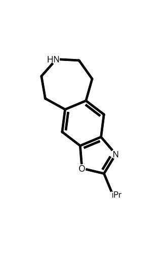 CC(C)c1nc2cc3c(cc2o1)CCNCC3